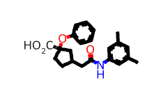 Cc1cc(C)cc(NC(=O)CC2CCC(Oc3ccccc3)(C(=O)O)C2)c1